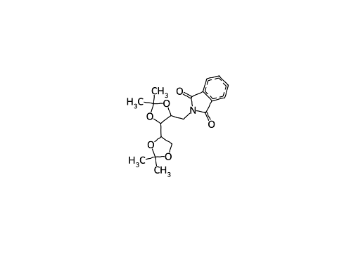 CC1(C)OCC(C2OC(C)(C)OC2CN2C(=O)c3ccccc3C2=O)O1